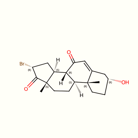 C[C@]12CC[C@@H](O)CC1=CC(=O)[C@@H]1[C@@H]2CC[C@]2(C)C(=O)[C@H](Br)C[C@@H]12